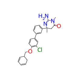 CN1C(=O)CC(C)(c2cccc(-c3ccc(OCC4C=CC=CC4)c(Cl)c3)c2)N=C1N